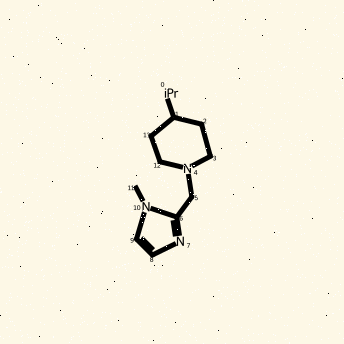 CC(C)C1CCN(Cc2nccn2C)CC1